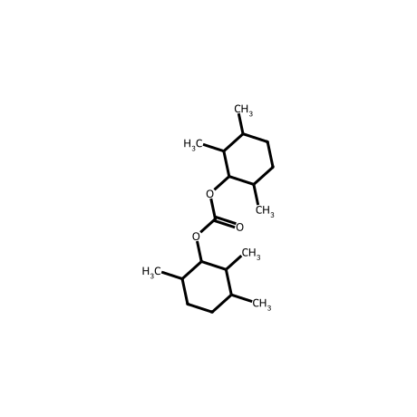 CC1CCC(C)C(OC(=O)OC2C(C)CCC(C)C2C)C1C